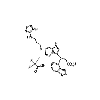 O=C(O)C(F)(F)F.O=C(O)CC(c1c[nH]c2cc(OCCCNc3ncc[nH]3)ccc12)c1cccc2nsnc12